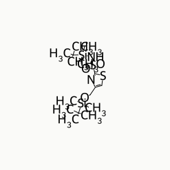 CC(C)(C)[Si](C)(C)NS(=O)(=O)c1nc(CO[Si](C)(C)C(C)(C)C)cs1